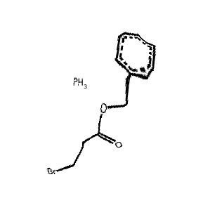 O=C(CCBr)OCc1ccccc1.P